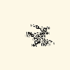 C[C@@H]1O[C@@H](OC[C@H]2O[C@@H](Oc3c(-c4ccc(O)c(O)c4)oc4cc(O)cc(O)c4c3=O)[C@H](O)[C@@H](O)[C@@H]2O)[C@H](O)[C@H](O)[C@H]1O.O=c1cc(-c2ccc(O)cc2)oc2cc(O)cc(O)c12